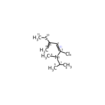 C=C(/C=C(/Cl)N(C)C(C)C)SC